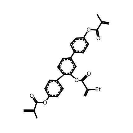 C=C(C)C(=O)Oc1ccc(-c2ccc(-c3ccc(OC(=O)C(=C)C)cc3)c(OC(=O)C(=C)CC)c2)cc1